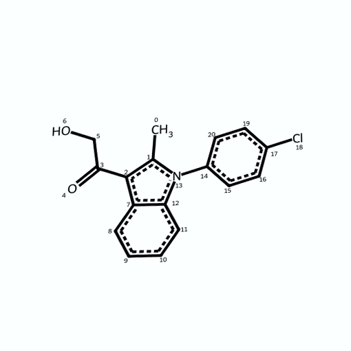 Cc1c(C(=O)CO)c2ccccc2n1-c1ccc(Cl)cc1